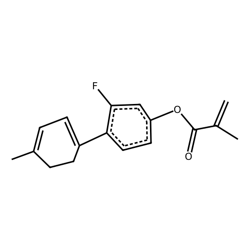 C=C(C)C(=O)Oc1ccc(C2=CC=C(C)CC2)c(F)c1